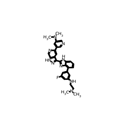 CN(C)CCNc1cc(F)cc(-c2cccc3[nH]c(-c4n[nH]c5cnc(-c6cncc(N(C)C)c6)cc45)nc23)c1